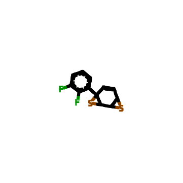 Fc1cccc(C23C=CC4SC4C2S3)c1F